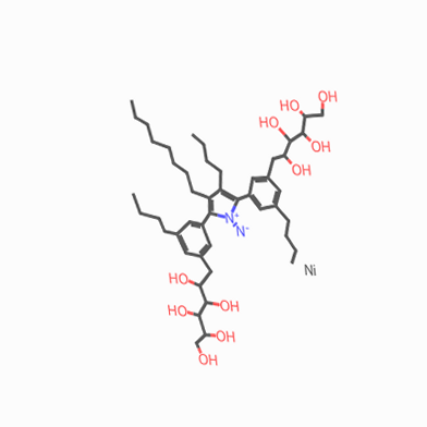 CCCCCCCCC1=C(c2cc(CCCC)cc(CC(O)C(O)C(O)C(O)CO)c2)[N+](=[N-])C(c2cc(CCCC)cc(CC(O)C(O)C(O)C(O)CO)c2)=C1CCCC.[Ni]